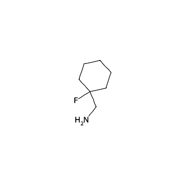 NCC1(F)CCCCC1